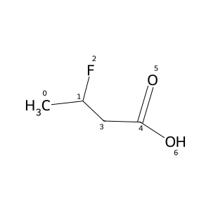 CC(F)CC(=O)O